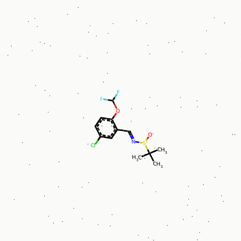 CC(C)(C)[S+]([O-])N=Cc1cc(Cl)ccc1OC(F)F